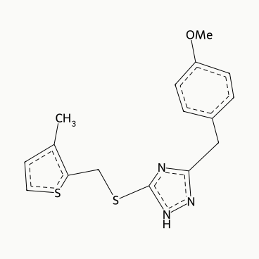 COc1ccc(Cc2n[nH]c(SCc3sccc3C)n2)cc1